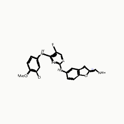 CN/C=C1/Cc2cc(Nc3ncc(F)c(Nc4ccc(OC)c(Cl)c4)n3)ccc2O1